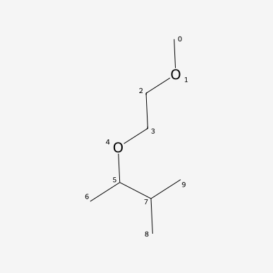 COCCOC(C)C(C)C